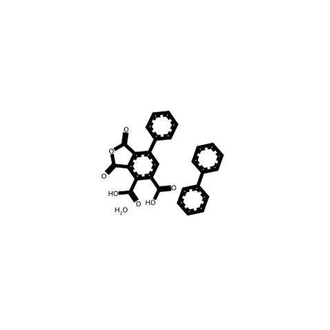 O.O=C(O)c1cc(-c2ccccc2)c2c(c1C(=O)O)C(=O)OC2=O.c1ccc(-c2ccccc2)cc1